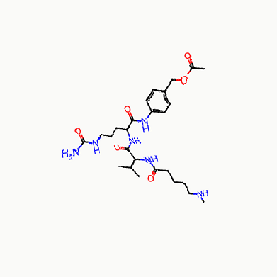 CNCCCCC(=O)NC(C(=O)NC(CCCNC(N)=O)C(=O)Nc1ccc(COC(C)=O)cc1)C(C)C